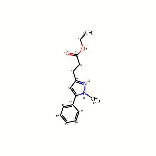 CCOC(=O)CCc1cc(-c2ccccc2)n(C)n1